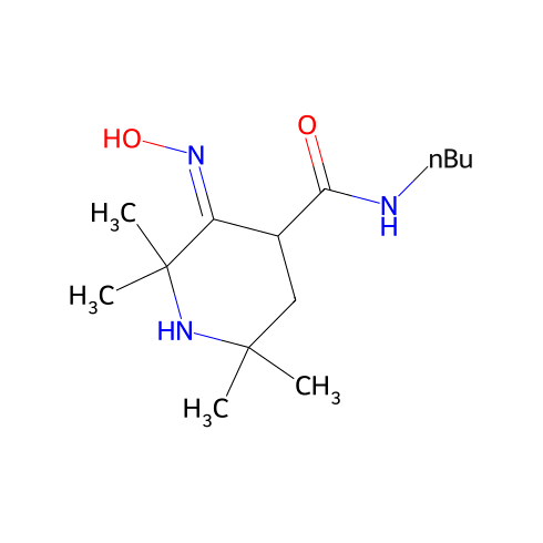 CCCCNC(=O)C1CC(C)(C)NC(C)(C)/C1=N\O